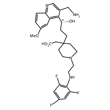 COc1ccc2ncc(CN)c([C@H](O)CCC3(CC(=O)O)CCN(CCNc4c(F)cc(F)cc4F)CC3)c2c1